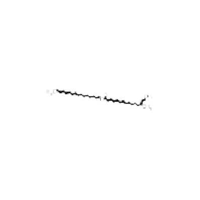 CCCCCCCCCCCCCCCCOC(=O)CCCCCCCCCCCC(C)CCC